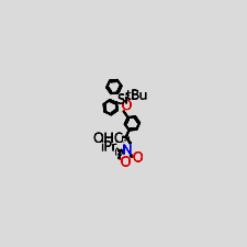 CC(C)[C@H]1COC(=O)N1C[C@@H](C=O)c1cccc(CO[Si](c2ccccc2)(c2ccccc2)C(C)(C)C)c1